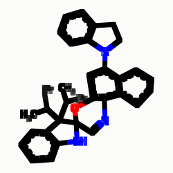 CC(C)C(C)C1(C(C)C(C)C)c2ccccc2NC12C=Nc1c(cc(N3CCc4ccccc43)c3ccccc13)O2